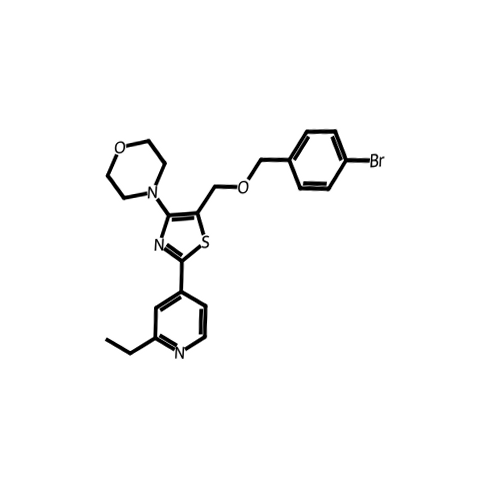 CCc1cc(-c2nc(N3CCOCC3)c(COCc3ccc(Br)cc3)s2)ccn1